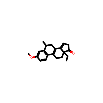 CCC12CCC3=C(CC(C)c4cc(OC)ccc43)C1=CCC2=O